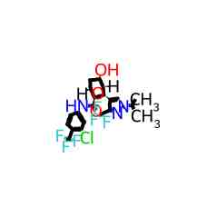 CC(C)n1cc([C@H]2[C@H]3O[C@H](C[C@@H]3O)[C@@H]2C(=O)Nc2ccc(C(F)(F)F)c(Cl)c2)c(C(F)(F)F)n1